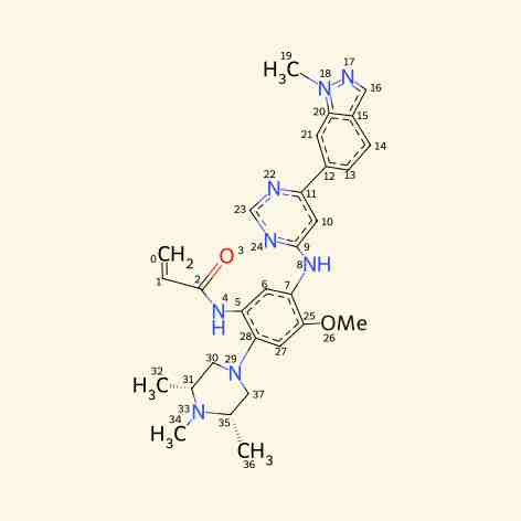 C=CC(=O)Nc1cc(Nc2cc(-c3ccc4cnn(C)c4c3)ncn2)c(OC)cc1N1C[C@@H](C)N(C)[C@@H](C)C1